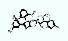 COc1cccc(OC)c1-n1c(NS(=O)(=O)[C@H](C)[C@@H](OC)c2ccc(Br)cn2)nnc1-c1cncc(C)c1